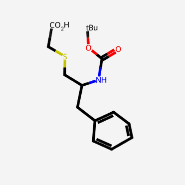 CC(C)(C)OC(=O)NC(CSCC(=O)O)Cc1ccccc1